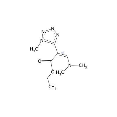 CCOC(=O)/C(=C\N(C)C)c1nnnn1C